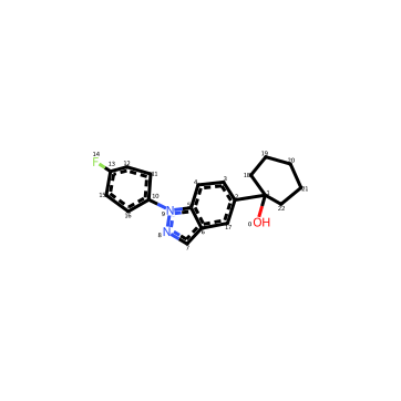 OC1(c2ccc3c(cnn3-c3ccc(F)cc3)c2)CCCCC1